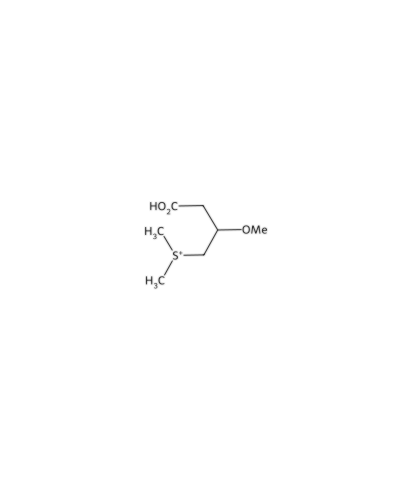 COC(CC(=O)O)C[S+](C)C